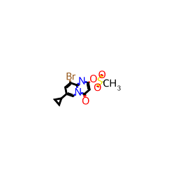 CS(=O)(=O)Oc1cc(=O)n2cc(C3CC3)cc(Br)c2n1